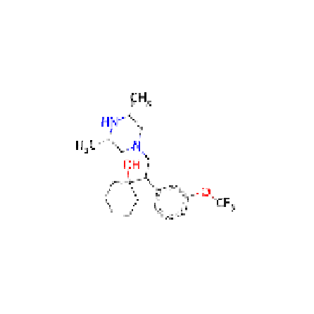 C[C@@H]1CN(CC(c2cccc(OC(F)(F)F)c2)C2(O)CCCCC2)C[C@H](C)N1